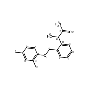 Cc1ccc(OCc2ccccc2C(O)C(N)=O)c(C)c1